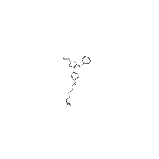 CNc1nc(-c2ccc(OCCCCCN)cc2)c(Oc2ccccc2)s1